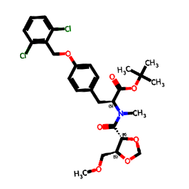 COC[C@@H]1OCO[C@H]1C(=O)N(C)[C@@H](Cc1ccc(OCc2c(Cl)cccc2Cl)cc1)C(=O)OC(C)(C)C